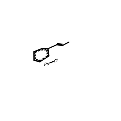 CC=Cc1ccccc1.[Cl][Pd]